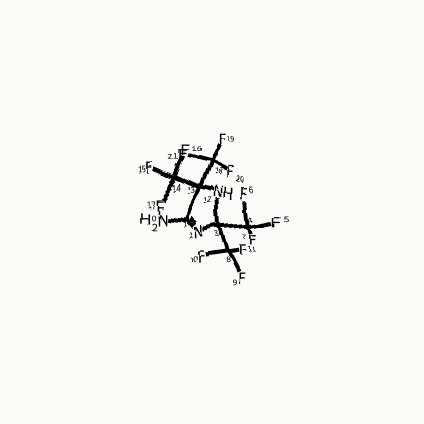 NC1=NC(C(F)(F)F)(C(F)(F)F)NC1(C(F)(F)F)C(F)(F)F